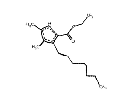 CCCCCCCc1c(C(=O)OCC)[nH]c(C)c1C